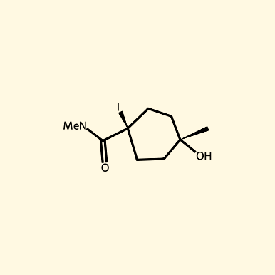 CNC(=O)[C@]1(I)CC[C@](C)(O)CC1